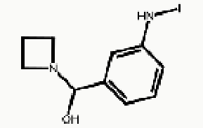 OC(c1cccc(NI)c1)N1CCC1